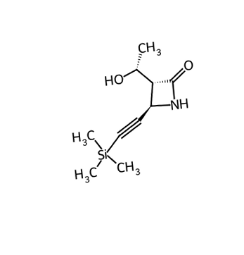 C[C@@H](O)[C@@H]1C(=O)N[C@H]1C#C[Si](C)(C)C